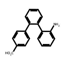 Nc1ccccc1-c1ccccc1-c1ccc(C(=O)O)cc1